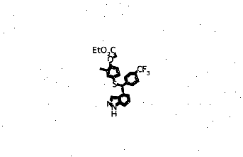 CCOC(=O)COc1ccc(SC(c2ccc(C(F)(F)F)cc2)c2cccc3[nH]ncc23)cc1C